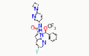 O=C(Nc1ccc(N2CCC2)nc1)c1cc2cc(F)cnc2n1C(OC(F)(F)F)c1ccccc1